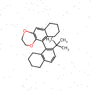 CC(C)(C)c1ccc2c(c1-c1c3c(cc4c1OCCO4)CCCC3)CCCC2